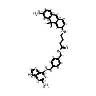 CC1(C)C2=CC(NCCCC(=O)NCc3ccc(COc4nc(N)nc5[nH]cnc45)cc3)C=CC2=Cc2ccc(N)cc21